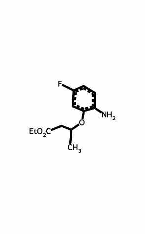 CCOC(=O)CC(C)Oc1cc(F)ccc1N